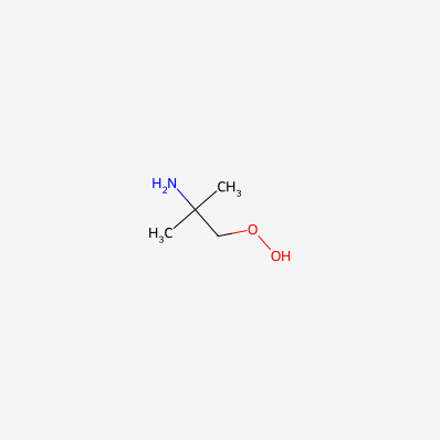 CC(C)(N)COO